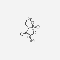 CC(C)CN1C(=O)[C@@H](C(C)C)OS1(=O)=O